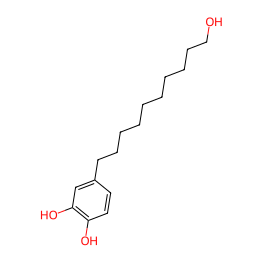 OCCCCCCCCCCc1ccc(O)c(O)c1